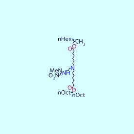 CCCCCC/C=C(/C)COC(=O)CCCCCCCN(CCCCCCCC(=O)OC(CCCCCCCC)CCCCCCCC)CCCN/C(=C/[N+](=O)[O-])NC